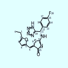 CCc1ccc(/C=C2\SC(N[C@@H](c3ccc(F)cc3)c3nnn[nH]3)=NC2=O)o1